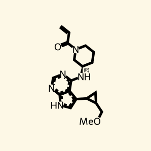 C=CC(=O)N1CCC[C@@H](Nc2ncnc3[nH]cc(C4CC4COC)c23)C1